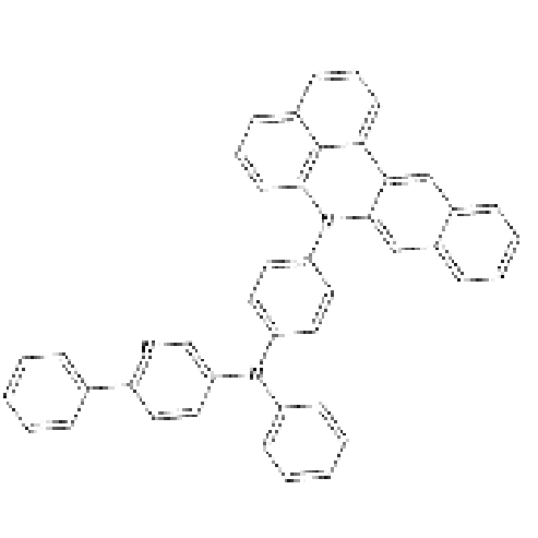 c1ccc(-c2ccc(N(c3ccccc3)c3ccc(N4c5cc6ccccc6cc5-c5cccc6cccc4c56)cc3)cn2)cc1